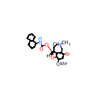 COc1cc(Br)c2c3c1O[C@H]1C[C@@H](OC(=O)Nc4cccc5ccccc45)C(C)[C@@]31CCN(C)C2